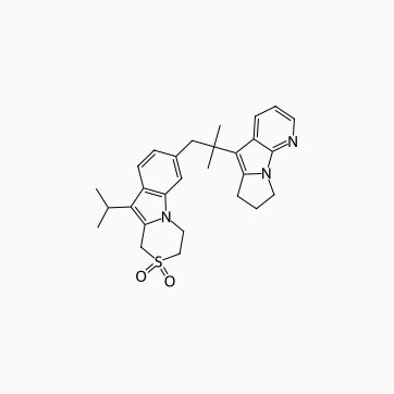 CC(C)c1c2n(c3cc(CC(C)(C)c4c5n(c6ncccc46)CCC5)ccc13)CCS(=O)(=O)C2